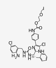 Nc1ccc(Cl)cc1CNC(=O)N[C@@H](Cc1ccccc1)c1nc(-c2ccc(NC(=O)OCCOCI)cc2)c(Cl)[nH]1